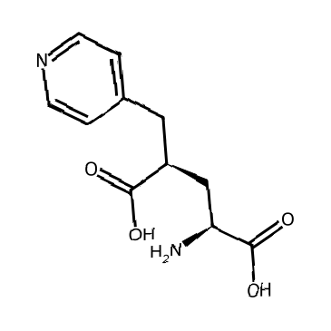 N[C@@H](C[C@H](Cc1ccncc1)C(=O)O)C(=O)O